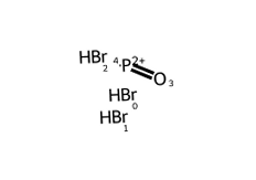 Br.Br.Br.O=[P+2]